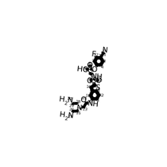 N#Cc1ccc(OP(=O)(O)CNS(=O)(=O)c2cc3cc(NC(=O)CN(CCN)CCN)ccc3s2)cc1F